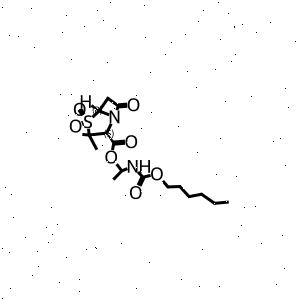 CCCCCCOC(=O)NC(C)OC(=O)[C@@H]1N2C(=O)C[C@H]2S(=O)(=O)C1(C)C